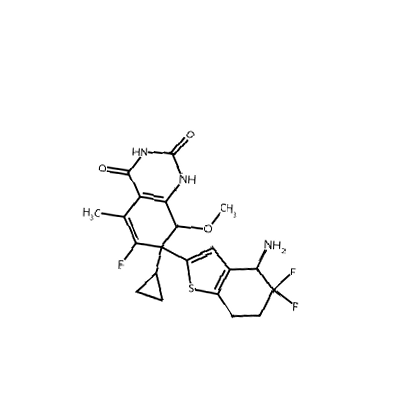 COC1c2[nH]c(=O)[nH]c(=O)c2C(C)=C(F)C1(c1cc2c(s1)CCC(F)(F)C2N)C1CC1